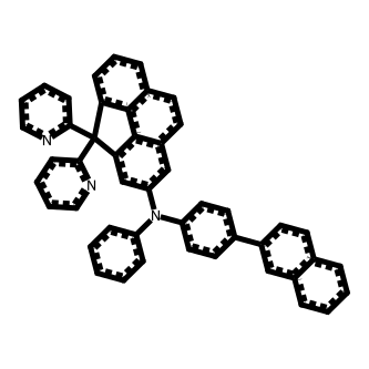 c1ccc(N(c2ccc(-c3ccc4ccccc4c3)cc2)c2cc3c4c(ccc5cccc(c54)C3(c3ccccn3)c3ccccn3)c2)cc1